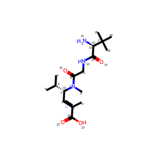 C/C(=C\[C@H](C(C)C)N(C)C(=O)CNC(=O)[C@@H](N)C(C)(C)C)C(=O)O